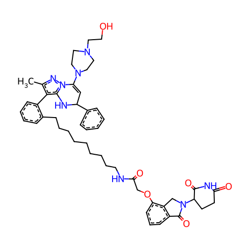 Cc1nn2c(c1-c1ccccc1CCCCCCCCCNC(=O)COc1cccc3c1CN(C1CCC(=O)NC1=O)C3=O)NC(c1ccccc1)C=C2N1CCN(CCO)CC1